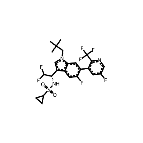 CC(C)(C)Cn1cc([C@H](NS(=O)(=O)C2CC2)C(F)F)c2cc(F)c(-c3cc(F)cnc3C(F)(F)F)cc21